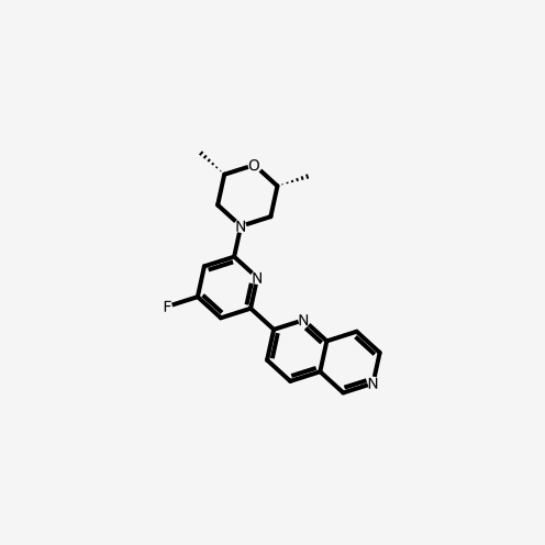 C[C@@H]1CN(c2cc(F)cc(-c3ccc4cnccc4n3)n2)C[C@H](C)O1